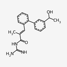 C/C(=C\c1ccccc1-c1cccc(C(C)O)c1)C(=O)NC(=N)N